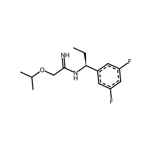 CC[C@H](NC(=N)COC(C)C)c1cc(F)cc(F)c1